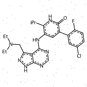 CCN(CC)Cc1n[nH]c2ncnc(Nc3cc(-c4cc(Cl)ccc4F)c(=O)[nH]c3C(C)C)c12